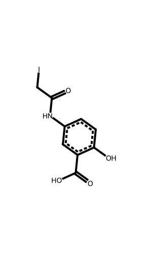 O=C(CI)Nc1ccc(O)c(C(=O)O)c1